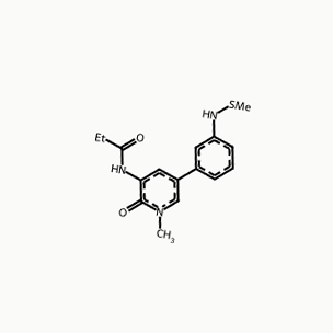 CCC(=O)Nc1cc(-c2cccc(NSC)c2)cn(C)c1=O